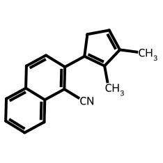 CC1=CCC(c2ccc3ccccc3c2C#N)=C1C